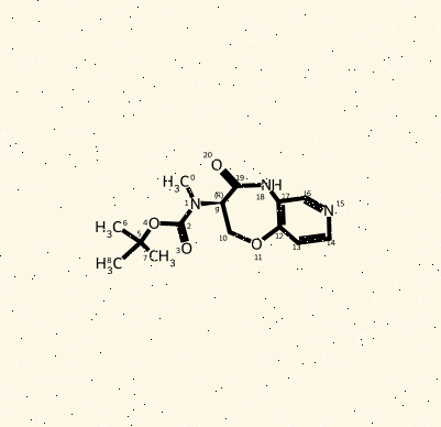 CN(C(=O)OC(C)(C)C)[C@@H]1COc2ccncc2NC1=O